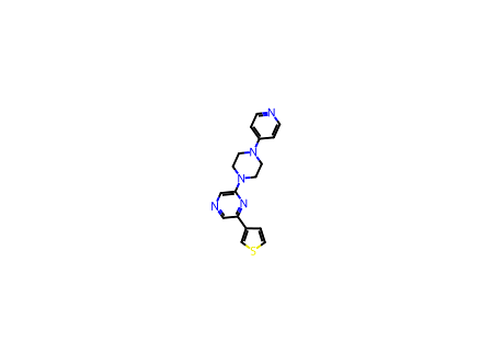 c1cc(N2CCN(c3cncc(-c4ccsc4)n3)CC2)ccn1